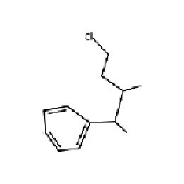 CC(CCCl)C(C)c1cc[c]cc1